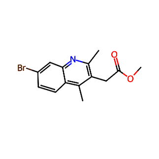 COC(=O)Cc1c(C)nc2cc(Br)ccc2c1C